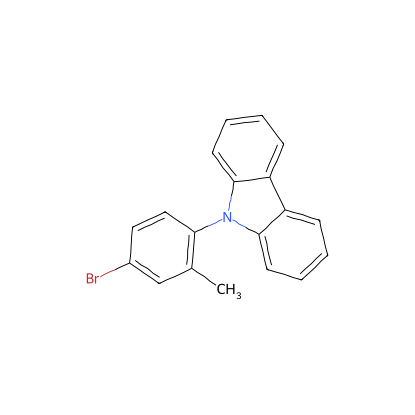 Cc1cc(Br)ccc1-n1c2ccccc2c2ccccc21